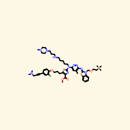 COC(=O)c1nc(N(CCCCCNCCCN2CCN(C)CC2)c2cc(C)c(/N=c3\sc4ccccc4n3COCC[Si](C)(C)C)nn2)sc1CCCOc1ccc(C#CCN(C)C)cc1F